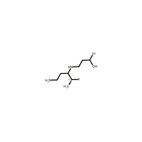 CCC(O)CCNC(CCN)[C@H](C)F